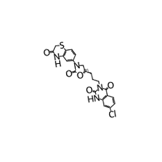 O=C1CSc2ccc(N3C[C@@H](CCCn4c(=O)[nH]c5cc(Cl)ccc5c4=O)OC3=O)cc2N1